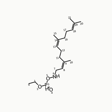 CCO[PH](=O)ONCC=C(C)CCC=C(C)CCC=C(C)C